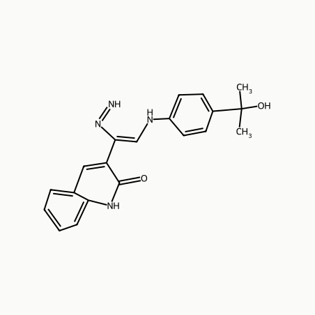 CC(C)(O)c1ccc(N/C=C(\N=N)c2cc3ccccc3[nH]c2=O)cc1